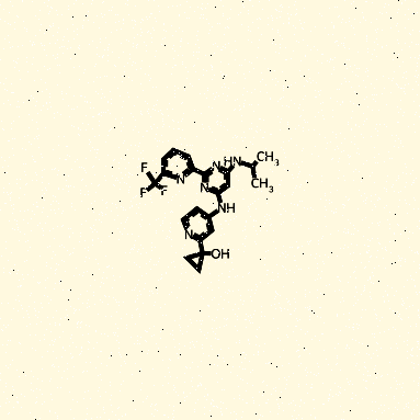 CC(C)Nc1cc(Nc2ccnc(C3(O)CC3)c2)nc(-c2cccc(C(F)(F)F)n2)n1